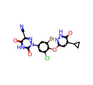 N#Cc1nn(-c2cc(Cl)c(Oc3cc(C4CC4)c(=O)[nH]n3)c(Br)c2)c(=O)[nH]c1=O